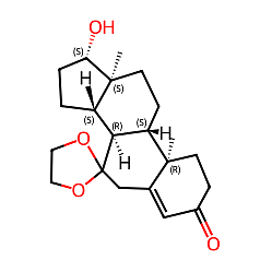 C[C@]12CC[C@H]3[C@H]([C@@H]1CC[C@@H]2O)C1(CC2=CC(=O)CC[C@@]23C)OCCO1